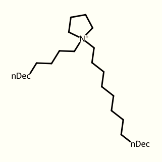 CCCCCCCCCCCCCCCCCC[N+]1(CCCCCCCCCCCCCC)CCCC1